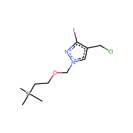 C[Si](C)(C)CCOCn1cc(CCl)c(I)n1